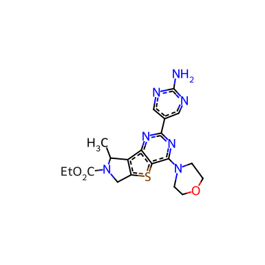 CCOC(=O)N1Cc2sc3c(N4CCOCC4)nc(-c4cnc(N)nc4)nc3c2C1C